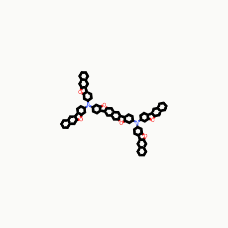 c1ccc2cc3c(cc2c1)oc1cc(N(c2ccc4c(c2)oc2cc5ccccc5cc24)c2ccc4c(c2)oc2cc5cc6c(cc5cc24)oc2cc(N(c4ccc5c(c4)oc4cc7ccccc7cc45)c4ccc5c(c4)oc4cc7ccccc7cc45)ccc26)ccc13